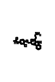 CC(=O)Nc1ccc(OCC(O)CN2c3ccccc3NC2CCCN)c(Cl)c1